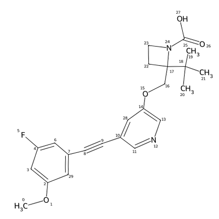 COc1cc(F)cc(C#Cc2cncc(OCC3(C(C)(C)C)CCN3C(=O)O)c2)c1